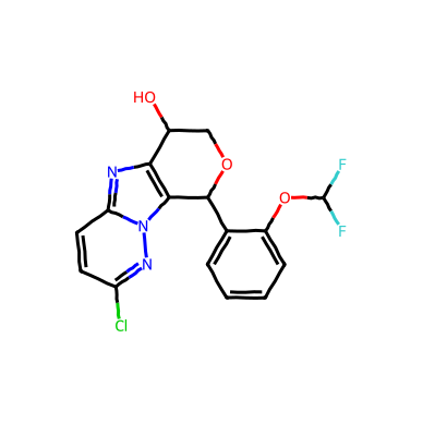 OC1COC(c2ccccc2OC(F)F)c2c1nc1ccc(Cl)nn21